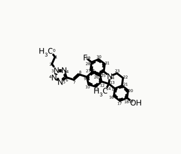 CCCn1nnc(/C=C/c2ccc(C3(C)c4ccc(O)cc4CCN3c3ccc(F)cc3)cc2)n1